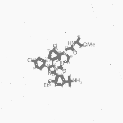 CCOc1ccc(C(C)(C)N)cc1C1=N[C@@H](c2ccc(Cl)cc2)[C@@H](c2ccc(Cl)cc2)N1C(=O)N1CCN(CC(=O)NC(C)COC)CC1